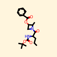 CCCC(NC(=O)OC(C)(C)C)C(=O)N1CC(OC(=O)c2ccccc2)C1C